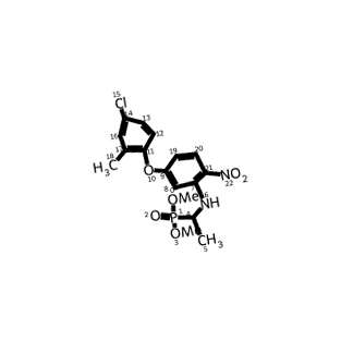 COP(=O)(OC)C(C)Nc1cc(Oc2ccc(Cl)cc2C)ccc1[N+](=O)[O-]